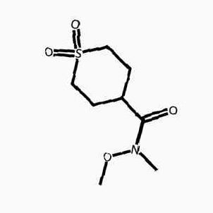 CON(C)C(=O)C1CCS(=O)(=O)CC1